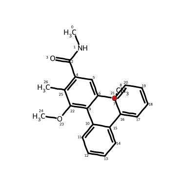 CNC(=O)c1cc(OC)c(-c2ccccc2-c2ccccc2)c(OC)c1C